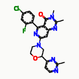 Cc1nccc(C2CN(c3cc4nc(C)n(C)c(=O)c4c(-c4ccc(Cl)cc4F)n3)CCO2)n1